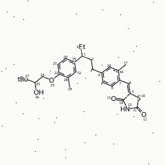 CCC(CCc1ccc(C=C2SC(=O)NC2=O)c(C)c1)c1ccc(OCC(O)C(C)(C)C)c(C)c1